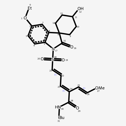 CCOc1ccc2c(c1)C1(CCC(O)CC1)C(=O)N2S(=O)(=O)/C=C/C=C(\C=C\OC)C(=O)NC(C)(C)C